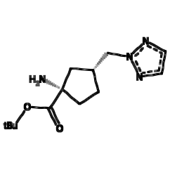 CC(C)(C)OC(=O)[C@]1(N)CC[C@@H](Cn2nccn2)C1